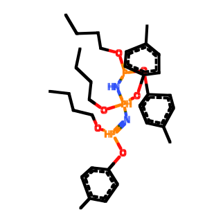 CCCCOP(N[PH](N=[PH](OCCCC)Oc1ccc(C)cc1)(OCCCC)Oc1ccc(C)cc1)Oc1ccc(C)cc1